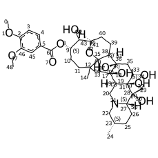 COc1ccc(C(=O)O[C@H]2CCC(C)(C)[C@@]34C[C@@]5(O)[C@@H]6CN7C[C@@H](C)CC[C@H]7[C@@](C)(O)[C@@]6(O)[C@@H](O)C[C@@]5(O)[C@@H]3CC[C@@H](O4)C2O)cc1OC